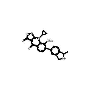 COc1c(-c2ccc3c(c2)CNC3C)ccc2c(=O)c3c(=O)[nH]sc3n(C3CC3)c12